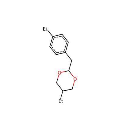 CCc1ccc(CC2OCC(CC)CO2)cc1